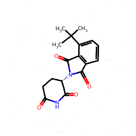 CC(C)(C)c1cccc2c1C(=O)N([C@H]1CCC(=O)NC1=O)C2=O